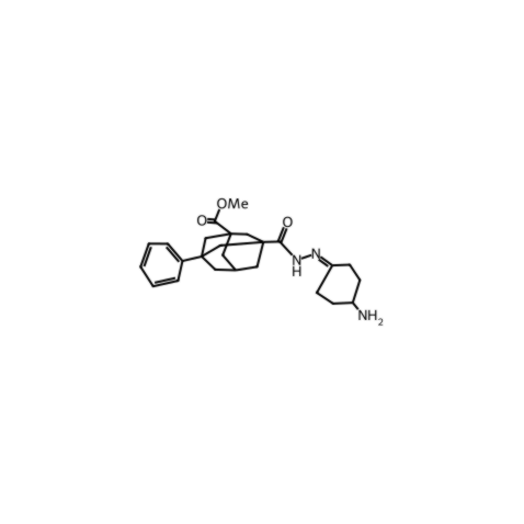 COC(=O)C12CC3CC(C(=O)NN=C4CCC(N)CC4)(C1)CC(c1ccccc1)(C3)C2